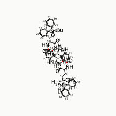 CC(C)(CC[C@@H]1NC(=O)[C@@H]2CC3([C@]45C[C@H]6C(=O)N[C@@H](CO[Si](c7ccccc7)(c7ccccc7)C(C)(C)C)C(=O)N6[C@H]4Nc4ccccc45)c4ccccc4N[C@@H]3N2C1=O)[Si](O)(c1ccccc1)c1ccccc1